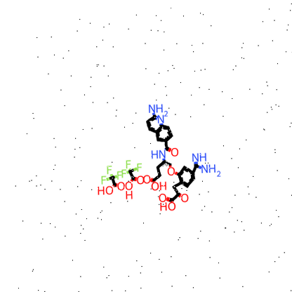 N=C(N)c1ccc(CC(=O)C(=O)O)c(OC[C@@H](CCC(=O)O)NC(=O)c2ccc3nc(N)ccc3c2)c1.O=C(O)C(F)(F)F.O=C(O)C(F)(F)F